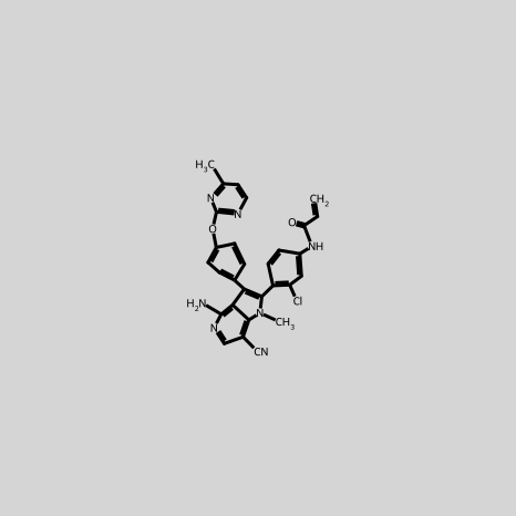 C=CC(=O)Nc1ccc(-c2c(-c3ccc(Oc4nccc(C)n4)cc3)c3c(N)ncc(C#N)c3n2C)c(Cl)c1